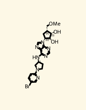 COC[C@H]1C[C@@H](n2cnc3c(N[C@H]4CCN(c5ccc(Br)cn5)C4)ncnc32)[C@@H](O)[C@H]1O